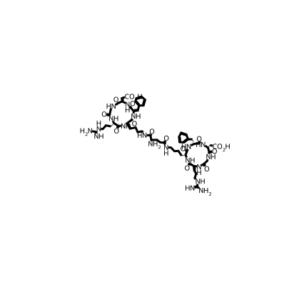 N=C(N)NCC/C=C1\NC(=O)CNC(=O)[C@@H](CC(=O)O)NC(=O)[C@@H](Cc2ccccc2)NC(=O)[C@@H](CCCCNC(=O)CC[C@H](N)C(=O)NCCC/C=C2/NC(=O)[C@H](CCCNC(=N)N)NC(=O)CNC(=O)/C(=C/C(=O)O)NC(=O)/C(=C\c3ccccc3)NC2=O)NC1=O